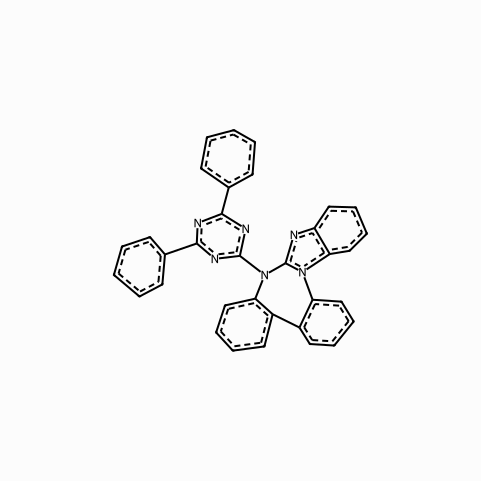 c1ccc(-c2nc(-c3ccccc3)nc(N3c4ccccc4-c4ccccc4-n4c3nc3ccccc34)n2)cc1